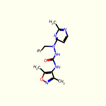 Cc1nccc(N(CC(C)C)NC(=O)Nc2c(C)noc2C)n1